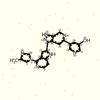 Cc1cn(-c2nccc3[nH]c(-c4n[nH]c5cnc(-c6cncc(O)c6)cc45)cc23)cn1